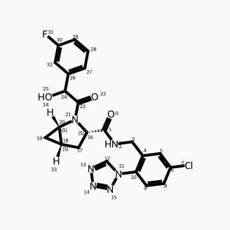 O=C(NCc1cc(Cl)ccc1-n1cnnn1)[C@@H]1C[C@@H]2C[C@@H]2N1C(=O)C(O)c1cccc(F)c1